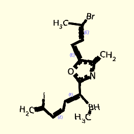 C=C(I)/C=C\C=C(/BC)c1nc(=C)/c(=C\C=C(/C)Br)o1